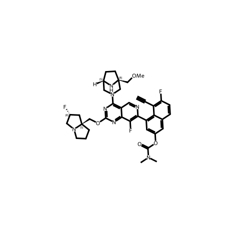 C#Cc1c(F)ccc2cc(OC(=O)N(C)C)cc(-c3ncc4c(N5C[C@@H]6CC[C@](COC)(C5)N6)nc(OC[C@@]56CCCN5C[C@H](F)C6)nc4c3F)c12